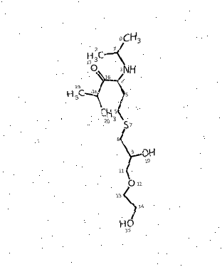 CC(C)N[C@@H](CCSCC(O)COCCO)C(=O)C(C)C